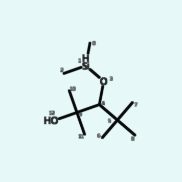 C[SiH](C)OC(C(C)(C)C)C(C)(C)O